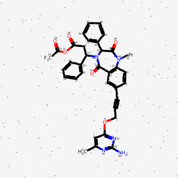 Cc1cc(OCC#Cc2ccc3c(c2)C(=O)N(C(CC(=O)OC(=O)C(F)(F)F)c2ccccc2)C(c2ccccc2)C(=O)N3C(C)C)nc(N)n1